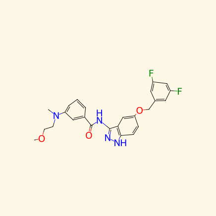 COCCN(C)c1cccc(C(=O)Nc2n[nH]c3ccc(OCc4cc(F)cc(F)c4)cc23)c1